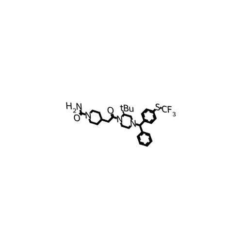 CC(C)(C)[C@H]1CN(C(c2ccccc2)c2ccc(SC(F)(F)F)cc2)CCN1C(=O)CC1CCN(C(N)=O)CC1